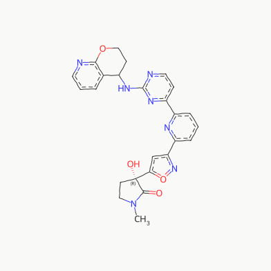 CN1CC[C@@](O)(c2cc(-c3cccc(-c4ccnc(NC5CCOc6ncccc65)n4)n3)no2)C1=O